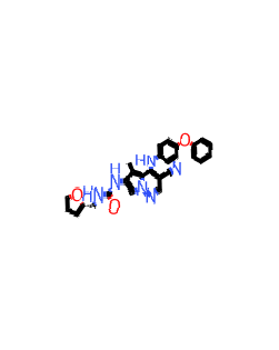 Cc1c(NC(=O)NC[C@@H]2CCCO2)cn2ncc(C#N)c(Nc3ccc(Oc4ccccc4)cc3)c12